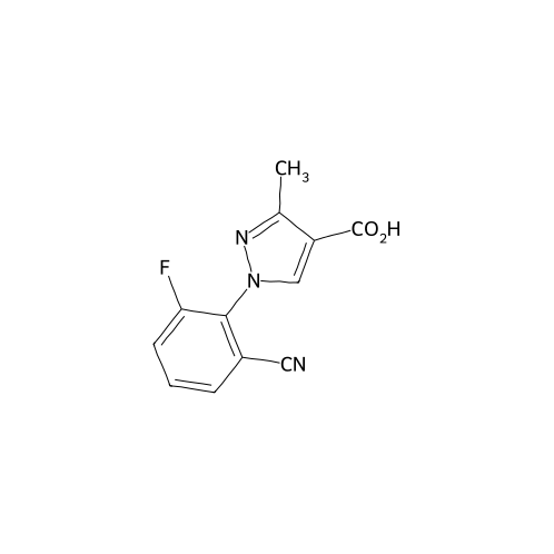 Cc1nn(-c2c(F)cccc2C#N)cc1C(=O)O